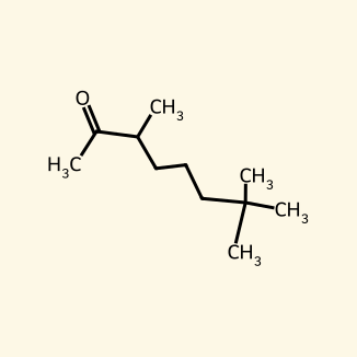 CC(=O)C(C)CCCC(C)(C)C